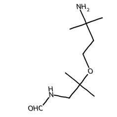 CC(C)(N)CCOC(C)(C)CNC=O